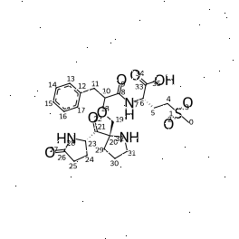 CS(=O)(=O)CC[C@H](NC(=O)C(Cc1ccccc1)OC[C@]1(C(=O)[C@@H]2CCC(=O)N2)CCCN1)C(=O)O